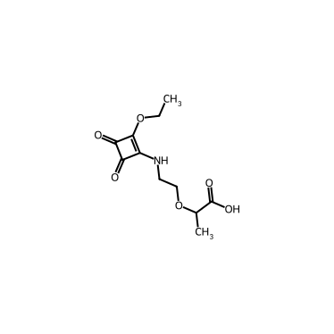 CCOc1c(NCCOC(C)C(=O)O)c(=O)c1=O